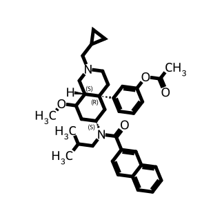 COC1C[C@@H](N(CC(C)C)C(=O)c2ccc3ccccc3c2)C[C@]2(c3cccc(OC(C)=O)c3)CCN(CC3CC3)C[C@@H]12